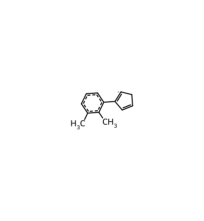 Cc1cccc(C2=[C]CC=C2)c1C